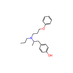 CCCN(CCCOc1ccccc1)C(C)Cc1ccc(O)cc1